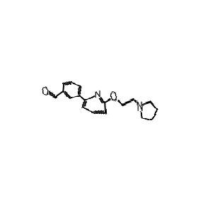 O=Cc1cccc(-c2cccc(OCCN3CCCC3)n2)c1